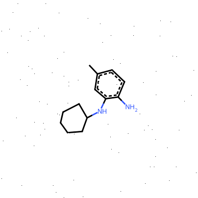 Cc1ccc(N)c(NC2CCCCC2)c1